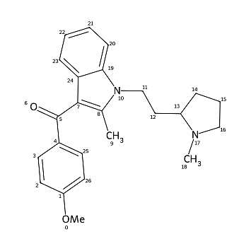 COc1ccc(C(=O)c2c(C)n(CCC3CCCN3C)c3ccccc23)cc1